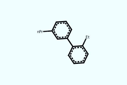 CCCc1cccc(-c2[c]cccc2CC)c1